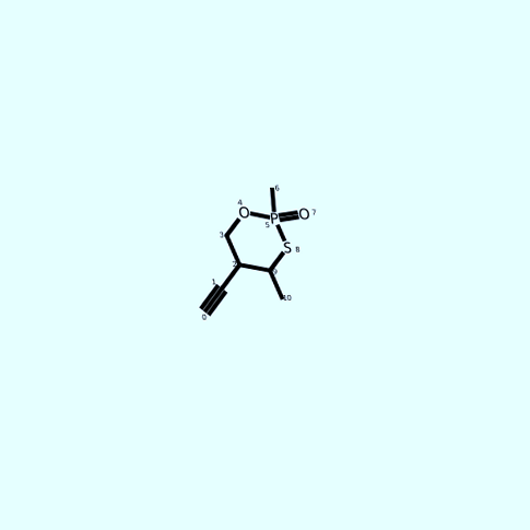 C#CC1COP(C)(=O)SC1C